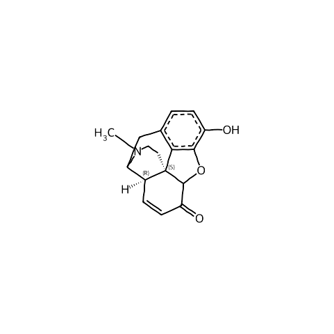 CN1CC[C@]23c4c5ccc(O)c4OC2C(=O)C=C[C@H]3C1C5